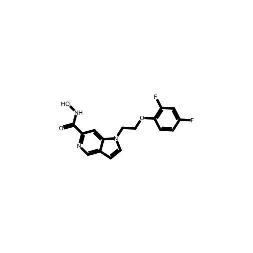 O=C(NO)c1cc2c(ccn2CCOc2ccc(F)cc2F)cn1